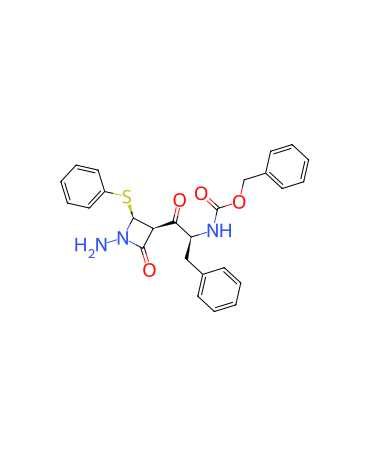 NN1C(=O)[C@H](C(=O)[C@H](Cc2ccccc2)NC(=O)OCc2ccccc2)[C@@H]1Sc1ccccc1